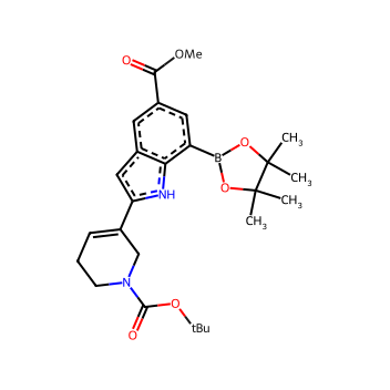 COC(=O)c1cc(B2OC(C)(C)C(C)(C)O2)c2[nH]c(C3=CCCN(C(=O)OC(C)(C)C)C3)cc2c1